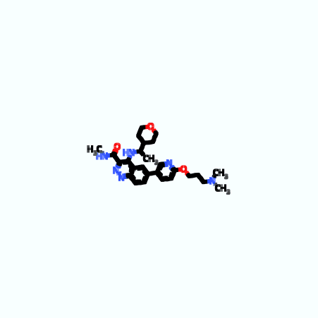 CNC(=O)c1nnc2ccc(-c3ccc(OCCCN(C)C)nc3)cc2c1NC(C)C1CCOCC1